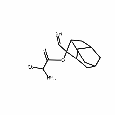 CCC(N)C(=O)OC1(C=N)C2CC3CC(C2)CC1C3